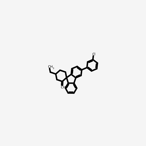 C=C1CC(CC)CCC12c1ccccc1-c1cc(-c3cccc(Cl)c3)ccc12